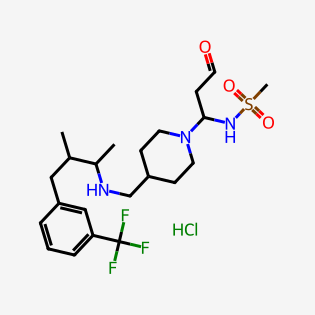 CC(Cc1cccc(C(F)(F)F)c1)C(C)NCC1CCN(C(CC=O)NS(C)(=O)=O)CC1.Cl